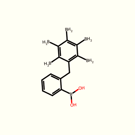 Bc1c(B)c(B)c(Cc2ccccc2B(O)O)c(B)c1B